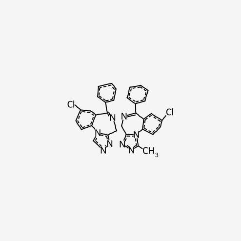 Cc1nnc2n1-c1ccc(Cl)cc1C(c1ccccc1)=NC2.Clc1ccc2c(c1)C(c1ccccc1)=NCc1nncn1-2